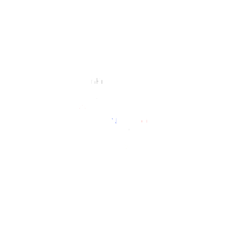 CCCC(=O)CN1CCSC1=O